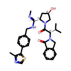 C/N=C(/NCc1ccc(-c2scnc2C)cc1)[C@@H]1C[C@@H](O)CN1C(=O)[C@H](C(C)C)N1Cc2ccccc2C1=O